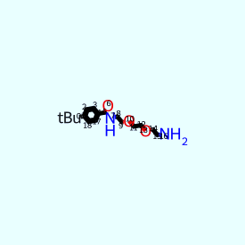 CC(C)(C)c1ccc(C(=O)NCCOCCOCCN)cc1